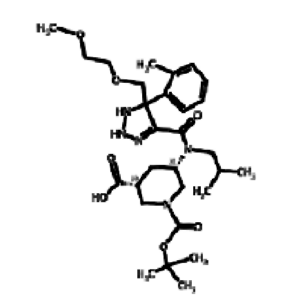 COCCOCC1(c2ccccc2C)NNN=C1C(=O)N(CC(C)C)[C@H]1C[C@@H](C(=O)O)CN(C(=O)OC(C)(C)C)C1